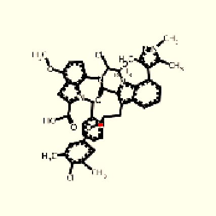 COc1ccc(N2C(=O)c3c(CCCOc4cc(C)c(Cl)c(C)c4)c4cccc(-c5c(C)nn(C)c5C)c4n3[C@H](C)C2Cl)c2c1cc(C(=O)O)n2Cc1ccccn1